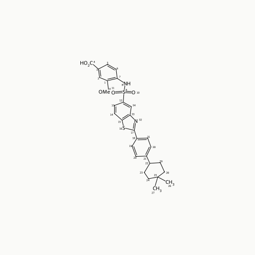 COc1cc(C(=O)O)ccc1NS(=O)(=O)c1ccc2sc(-c3ccc(C4CCC(C)(C)CC4)cc3)nc2c1